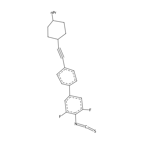 CCCC1CCC(C#Cc2ccc(-c3cc(F)c(N=C=S)c(F)c3)cc2)CC1